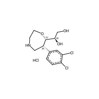 Cl.OC[C@@H](O)[C@H]1OCCNC[C@H]1c1ccc(Cl)c(Cl)c1